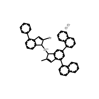 CC1=Cc2c(-c3cccc4ccccc34)cc(-c3cccc4ccccc34)cc2[CH]1[Zr+2][CH]1C(C(C)C)=Cc2c(-c3ccccc3)cccc21.[Cl-].[Cl-]